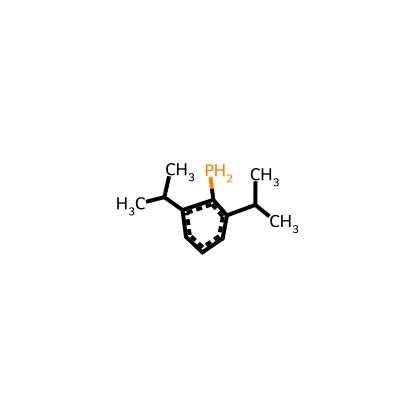 CC(C)c1cccc(C(C)C)c1P